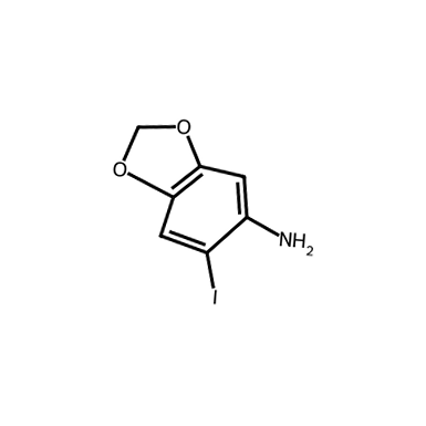 Nc1cc2c(cc1I)OCO2